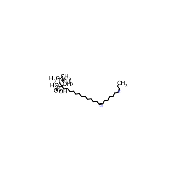 CC/C=C\CCCCC/C=C\CCCCCCCCCCCCC(O)(C[N+](C)(C)C)P(=O)(O)O